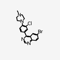 CN1CCN(c2ccc(-c3ncnc4ccc(Br)cc34)cc2Cl)CC1